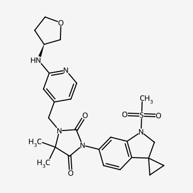 CC1(C)C(=O)N(c2ccc3c(c2)N(S(C)(=O)=O)CC32CC2)C(=O)N1Cc1ccnc(N[C@H]2CCOC2)c1